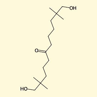 CC(C)(CO)CCCCC(=O)CCCC(C)(C)CO